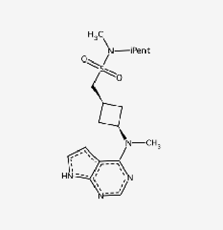 CCCC(C)N(C)S(=O)(=O)C[C@H]1C[C@@H](N(C)c2ncnc3[nH]ccc23)C1